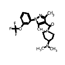 Cc1nn(-c2cccc(OC(F)(F)F)c2)c(C)c1C(=O)N1CCC(N(C)C)CC1